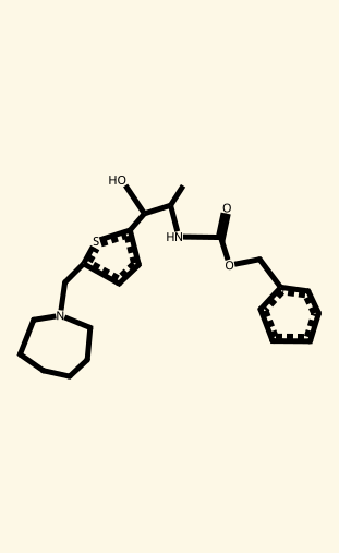 CC(NC(=O)OCc1ccccc1)C(O)c1ccc(CN2CCCCCC2)s1